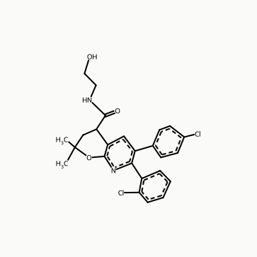 CC1(C)CC(C(=O)NCCO)c2cc(-c3ccc(Cl)cc3)c(-c3ccccc3Cl)nc2O1